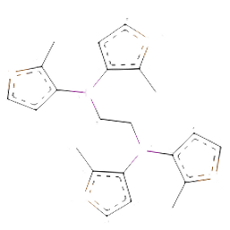 Cc1sccc1P(CCP(c1ccsc1C)c1ccsc1C)c1ccsc1C